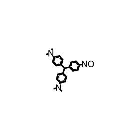 CN(C)c1ccc(C(c2ccc(N=O)cc2)c2ccc(N(C)C)cc2)cc1